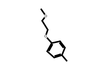 COCCOc1[c]cc(C)cc1